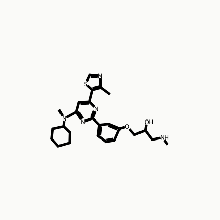 CNCC(O)COc1cccc(-c2nc(-c3scnc3C)cc(N(C)C3CCCCC3)n2)c1